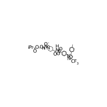 Cc1ccc(-c2cc(C(F)(F)F)nn2-c2ccc(S(=O)(=O)NC(=O)C3CCN(/[N+]([O-])=N/OCOC(=O)C(C)C)CC3)cc2)cc1